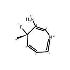 C[C@]1(F)C=CC=NC=C1N